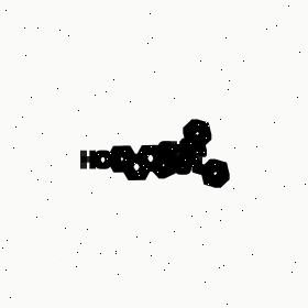 C[C@]12CCC3c4ccc(O)cc4CCC3C1CC[C@H]2OS(=O)(=O)N(Cc1ccccc1)Cc1ccccc1